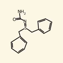 NC(=O)N=S(Cc1ccccc1)Cc1ccccc1